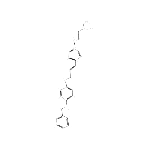 CN(C)CCOc1ccc(C=CCCc2ccc(OCc3ccccc3)cc2)cc1